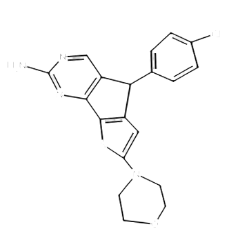 Nc1ncc2c(n1)-c1sc(N3CCOCC3)cc1C2c1ccc(Cl)cc1